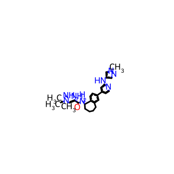 Cn1cc(Nc2cc(-c3ccc4c(c3)CCCC[C@H]4NC(=O)/C(N)=C/N(N)C(C)(C)C)ccn2)cn1